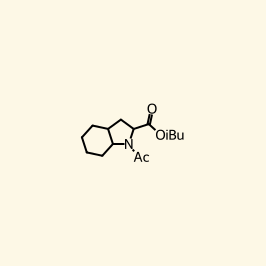 CC(=O)N1C(C(=O)OCC(C)C)CC2CCCCC21